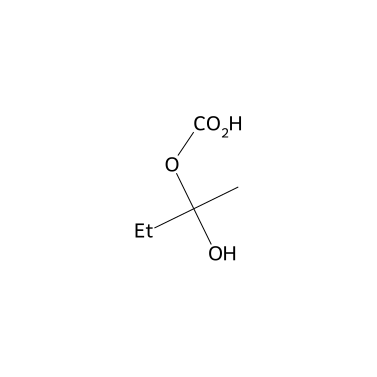 CCC(C)(O)OC(=O)O